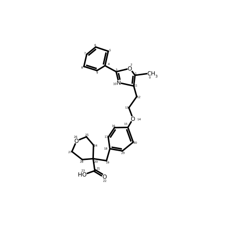 Cc1oc(-c2ccccc2)nc1CCOc1ccc(CC2(C(=O)O)CCOCC2)cc1